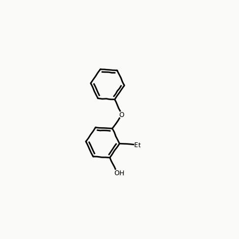 CCc1c(O)cccc1Oc1ccccc1